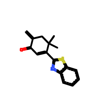 C=C1CC(C)(C)C(c2nc3ccccc3s2)=CC1=O